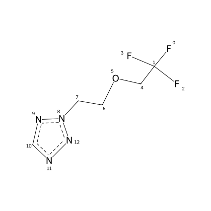 FC(F)(F)COCCn1ncnn1